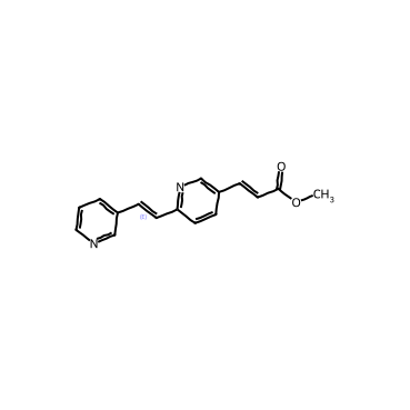 COC(=O)C=Cc1ccc(/C=C/c2cccnc2)nc1